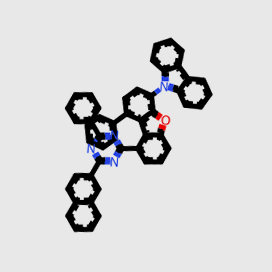 c1ccc(-c2nc(-c3ccc4ccccc4c3)nc(-c3cccc4oc5c(-n6c7ccccc7c7ccccc76)ccc(-c6ccccc6)c5c34)n2)cc1